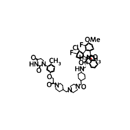 COc1ccc(C(N)=O)c(-c2c(Cl)c(F)cc3c2[C@H](C)[C@@](CNC2CCC(C(=O)N4CCN(CC5CCN(C(=O)COc6ccc(C)c(N7CCC(=O)NC7=O)c6)CC5)CC4)CC2)(c2ccccc2)O3)c1F